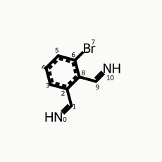 N=Cc1cccc(Br)c1C=N